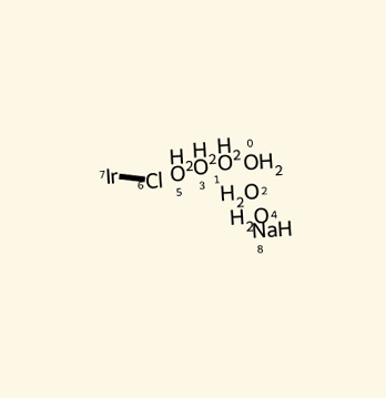 O.O.O.O.O.O.[Cl][Ir].[NaH]